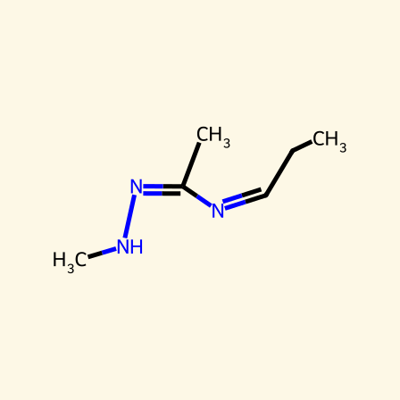 CC/C=N\C(C)=N/NC